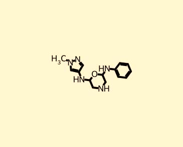 Cn1cc(NC2CNCC(Nc3ccccc3)O2)cn1